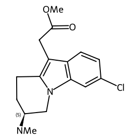 CN[C@H]1CCc2c(CC(=O)OC)c3ccc(Cl)cc3n2C1